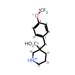 O=C(O)C1(Cc2ccc(OC(F)(F)F)cc2)CCCNC1